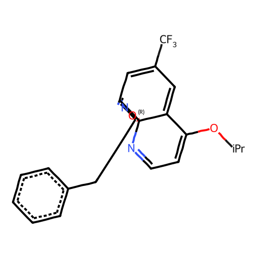 CC(C)OC1=CC=N[C@]23OC(Cc4ccccc4)CN=C2C=C(C(F)(F)F)C=C13